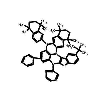 CC(C)(C)c1ccc2sc3c(c2c1)B1c2cc4c(cc2N(c2ccc5c(c2)C(C)(C)CCC5(C)C)c2cc(-c5ccccc5)cc(c21)N3c1ccccc1)C(C)(C)CCC4(C)C